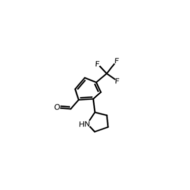 O=Cc1ccc(C(F)(F)F)cc1C1CCCN1